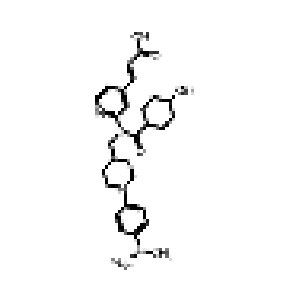 CN(C)c1ccc(N2CCC(CN(C(=O)C3CCC(O)CC3)c3cc(/C=C/C(=O)O)ccn3)CC2)cc1